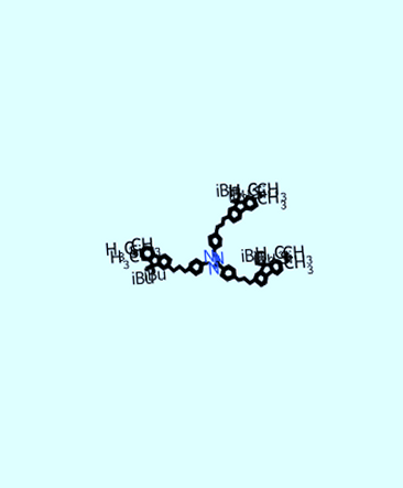 CCC(C)CC1(CC(C)CC)c2cc(CCCc3ccc(-c4nc(-c5ccc(CCCc6ccc7c(c6)C(CC(C)CC)(CC(C)CC)c6cc([Si](C)(C)C)ccc6-7)cc5)nc(-c5ccc(CCCc6ccc7c(c6)C(CC(C)CC)(CC(C)CC)c6cc([Si](C)(C)C)ccc6-7)cc5)n4)cc3)ccc2-c2ccc([Si](C)(C)C)cc21